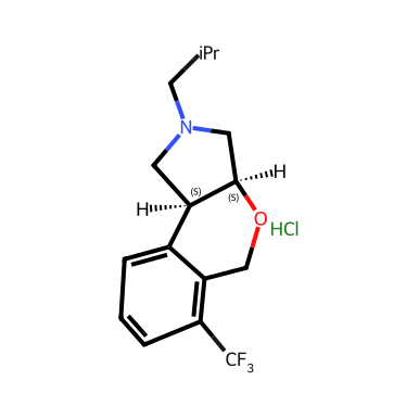 CC(C)CN1C[C@@H]2c3cccc(C(F)(F)F)c3CO[C@@H]2C1.Cl